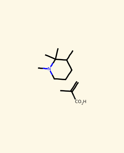 C=C(C)C(=O)O.CC1CCCN(C)C1(C)C